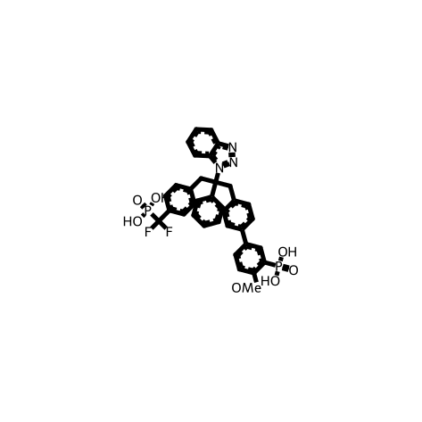 COc1ccc(-c2ccc(CC(Cc3ccc(C(F)(F)P(=O)(O)O)cc3)(c3ccccc3)n3nnc4ccccc43)cc2)cc1P(=O)(O)O